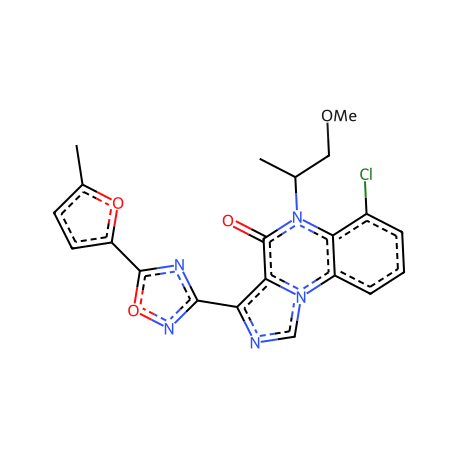 COCC(C)n1c(=O)c2c(-c3noc(-c4ccc(C)o4)n3)ncn2c2cccc(Cl)c21